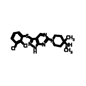 CNC1(C)CCN(c2ncc3c(Sc4cccc(Cl)c4Cl)n[nH]c3n2)CC1